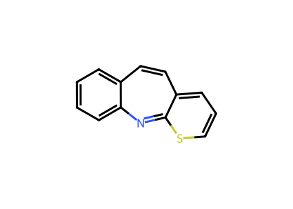 C1=CSC2=Nc3ccccc3C=CC2=C1